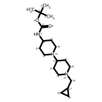 CC(C)(C)OC(=O)NC1CCN(C2CCN(CC3CC3)CC2)CC1